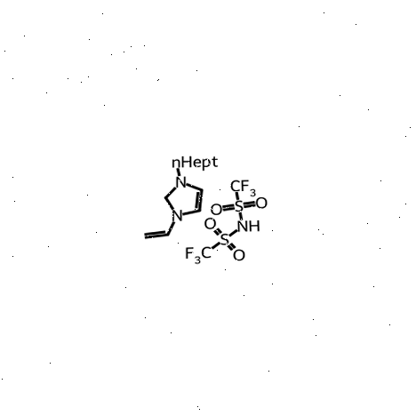 C=CN1C=CN(CCCCCCC)C1.O=S(=O)(NS(=O)(=O)C(F)(F)F)C(F)(F)F